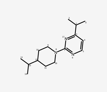 CC(C)c1ccnc(N2CCC(C(C)C)CC2)n1